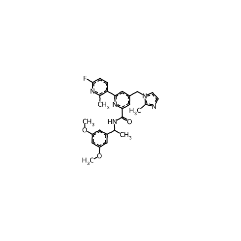 COc1cc(OC)cc(C(C)NC(=O)c2cc(Cn3ccnc3C)cc(-c3ccc(F)nc3C)n2)c1